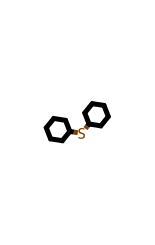 C1CC[C](SC2CCCCC2)CC1